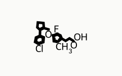 Cc1cc(OCC2=C(c3ccc(Cl)cc3)CCC2)c(F)cc1CCC(=O)O